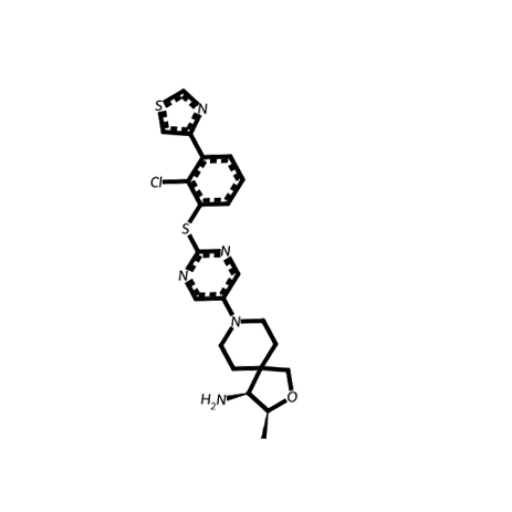 C[C@@H]1OCC2(CCN(c3cnc(Sc4cccc(-c5cscn5)c4Cl)nc3)CC2)[C@@H]1N